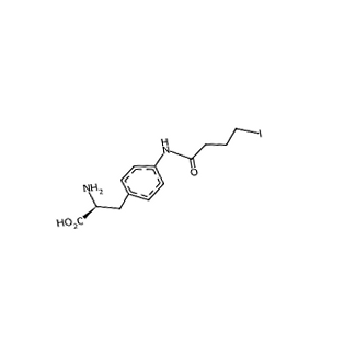 N[C@@H](Cc1ccc(NC(=O)CCCI)cc1)C(=O)O